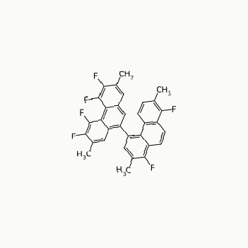 Cc1cc2cc(-c3cc(C)c(F)c4ccc5c(F)c(C)ccc5c34)c3cc(C)c(F)c(F)c3c2c(F)c1F